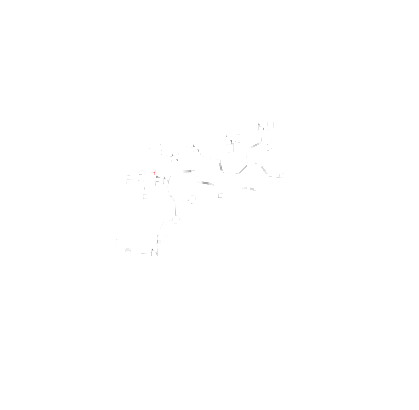 N#Cc1c(N)sc2c(F)ccc(-c3c(F)c4c5c(c3Cl)=NCN(C3(C(F)F)CC3)C=5N(CC(F)F)C=C(OC[C@@]35CCCN3C[C@H](F)C5)O4)c12